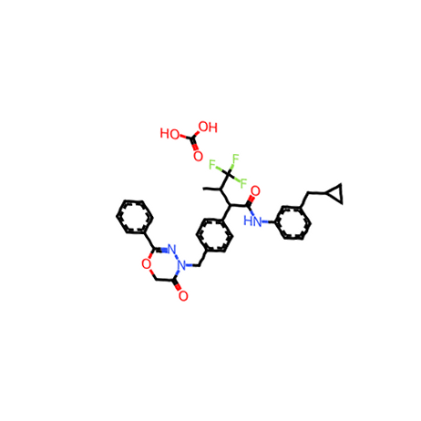 CC(C(C(=O)Nc1cccc(CC2CC2)c1)c1ccc(CN2N=C(c3ccccc3)OCC2=O)cc1)C(F)(F)F.O=C(O)O